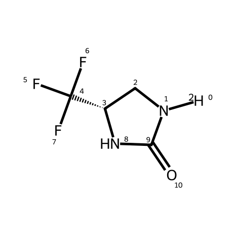 [2H]N1C[C@@H](C(F)(F)F)NC1=O